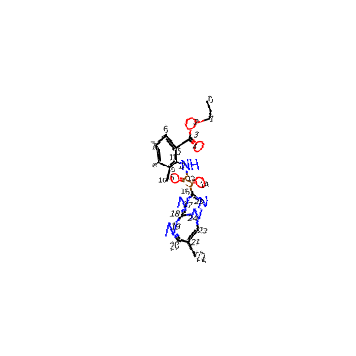 CCOC(=O)c1cccc(C)c1NS(=O)(=O)c1nc2ncc(C)cn2n1